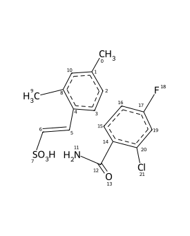 Cc1ccc(C=CS(=O)(=O)O)c(C)c1.NC(=O)c1ccc(F)cc1Cl